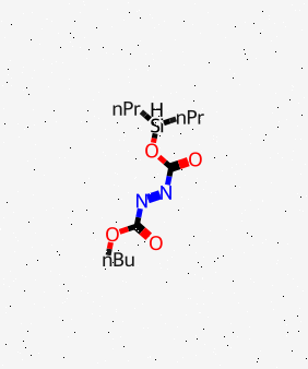 CCCCOC(=O)N=NC(=O)O[SiH](CCC)CCC